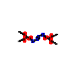 CCCCCC(=O)OCC(COC(=O)CCCCC)COC(=O)CCN(C)CCCN1CCN(CCCN(C)CCC(=O)OCC(COC(=O)CCCCC)COC(=O)CCCCC)CC1